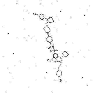 CCN1CCN(CC[C@H](CSc2ccccc2)Nc2ccc(S(=O)(=O)NC(=O)c3ccc(N4CCN(Cc5ccccc5-c5ccc(Cl)cc5)CC4)cc3)cc2[N+](=O)[O-])CC1